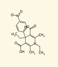 CCN1C(C)=C(C(=O)O)C(CC)(c2ccc([N+](=O)[O-])cc2)C(C(=O)O)=C1C